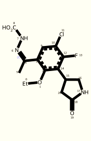 CCOc1c(/C(C)=N\NC(=O)O)cc(Cl)c(F)c1C1CNC(=O)C1